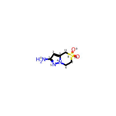 Nc1cc2n(n1)CCS(=O)(=O)C2